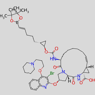 CC1(C)OB(C=CCCC[C@@H]2C[C@H]2OC(=O)N[C@H]2CCCCCC=C[C@@H]3C[C@@]3(C(=O)O)NC(=O)[C@@H]3C[C@@H](Oc4nc5ccccc5c(OCCCN5CCCCC5)c4Br)CN3C2=O)OC1(C)C